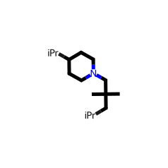 CC(C)CC(C)(C)CN1CCC(C(C)C)CC1